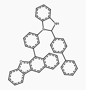 c1ccc(-c2ccc(C3Nc4ccccc4N3c3cccc(-c4c5ccccc5cc5c4oc4ccccc45)c3)cc2)cc1